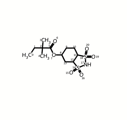 CCC(C)(C)C(=O)OC1CCC2C(C1)S(=O)(=O)NS2(=O)=O